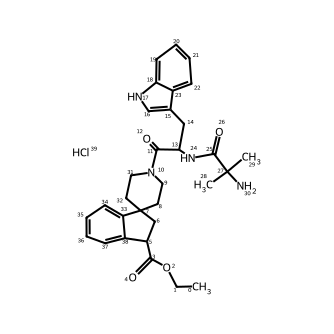 CCOC(=O)C1CC2(CCN(C(=O)C(Cc3c[nH]c4ccccc34)NC(=O)C(C)(C)N)CC2)c2ccccc21.Cl